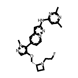 Cc1cc(Nc2cc3cc(-c4c(OC[C@H]5CCN5CCF)cnn4C)ccn3n2)nc(C)n1